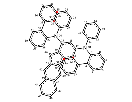 c1ccc(-c2ccccc2N(c2ccccc2)c2cc(N(c3ccccc3)c3ccccc3-c3ccccc3)c3sc4cc5ccccc5cc4c3c2)cc1